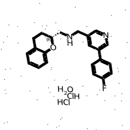 Cl.Cl.Fc1ccc(-c2cncc(CNC[C@H]3CCc4ccccc4O3)c2)cc1.O